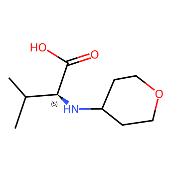 CC(C)[C@H](NC1CCOCC1)C(=O)O